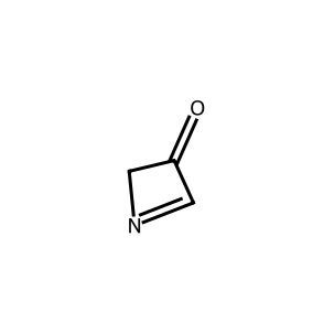 O=C1C=NC1